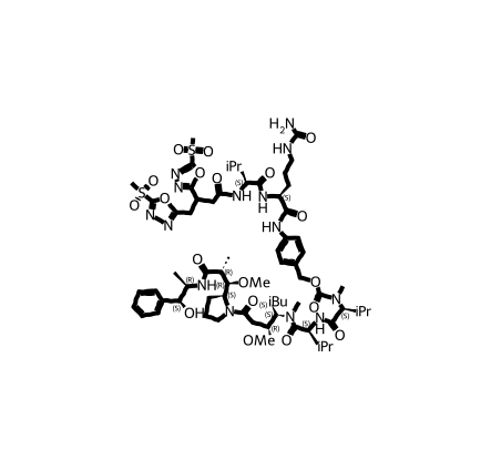 CC[C@H](C)[C@@H]([C@@H](CC(=O)N1CCC[C@H]1[C@H](OC)[C@@H](C)C(=O)N[C@H](C)[C@@H](O)c1ccccc1)OC)N(C)C(=O)[C@@H](NC(=O)[C@H](C(C)C)N(C)C(=O)OCc1ccc(NC(=O)[C@H](CCCNC(N)=O)NC(=O)[C@@H](NC(=O)CC(Cc2nnc(S(C)(=O)=O)o2)c2nnc(S(C)(=O)=O)o2)C(C)C)cc1)C(C)C